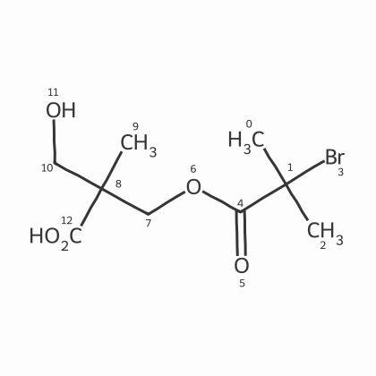 CC(C)(Br)C(=O)OCC(C)(CO)C(=O)O